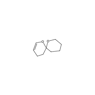 C1=COC2(CC1)CCCCO2